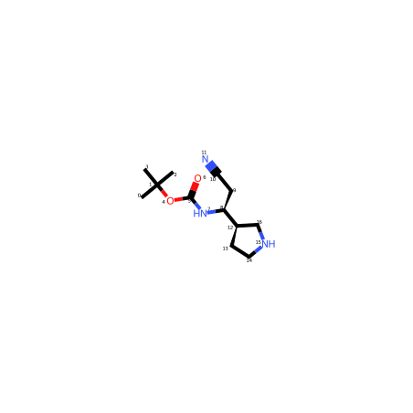 CC(C)(C)OC(=O)N[C@@H](CC#N)[C@@H]1CCNC1